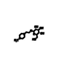 CN1CCN(CCOC2O[C@H](CO)[C@@H](O)[C@H](O)[C@H]2O)CC1